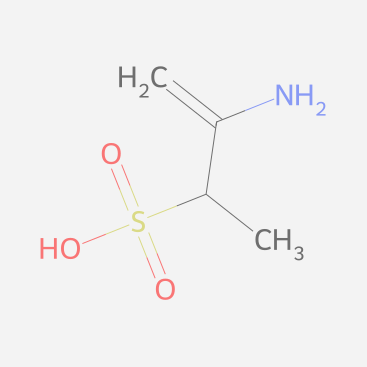 C=C(N)C(C)S(=O)(=O)O